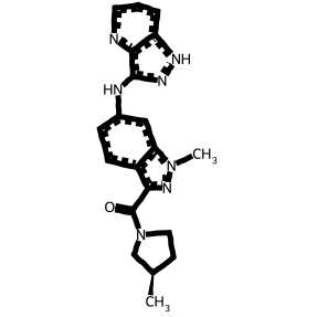 C[C@@H]1CCN(C(=O)c2nn(C)c3cc(Nc4n[nH]c5cccnc45)ccc23)C1